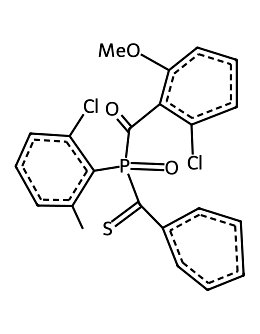 COc1cccc(Cl)c1C(=O)P(=O)(C(=S)c1ccccc1)c1c(C)cccc1Cl